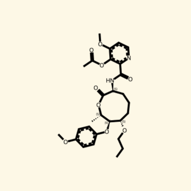 CCCO[C@H]1CCC[C@H](NC(=O)c2nccc(OC)c2OC(C)=O)C(=O)O[C@@H](C)[C@@H]1Oc1ccc(OC)cc1